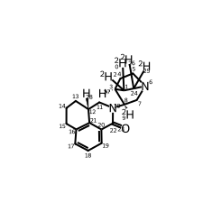 [2H]C1([2H])[C@@H]2CCN(C[C@@]2([2H])N2C[C@H]3CCCc4cccc(c43)C2=O)C1([2H])[2H]